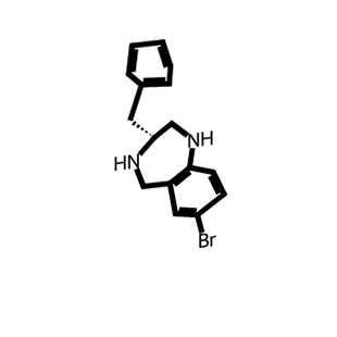 Brc1ccc2c(c1)CN[C@H](Cc1ccccc1)CN2